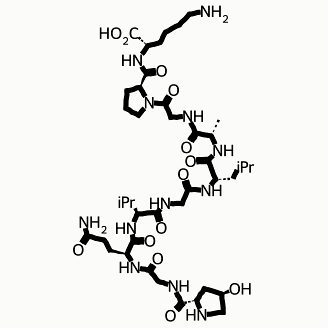 CC(C)C[C@H](NC(=O)CNC(=O)[C@@H](NC(=O)[C@H](CCC(N)=O)NC(=O)CNC(=O)[C@@H]1C[C@@H](O)CN1)C(C)C)C(=O)N[C@@H](C)C(=O)NCC(=O)N1CCC[C@H]1C(=O)N[C@@H](CCCCN)C(=O)O